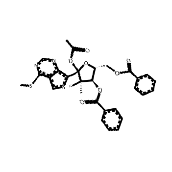 CSc1ncnc2c(C3(OC(C)=O)O[C@H](COC(=O)c4ccccc4)[C@@H](OC(=O)c4ccccc4)[C@@]3(C)F)scc12